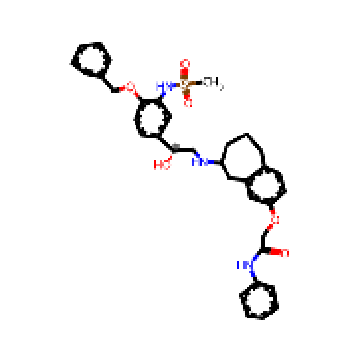 CS(=O)(=O)Nc1cc([C@@H](O)CNC2CCCc3ccc(OCC(=O)Nc4ccccc4)cc3C2)ccc1OCc1ccccc1